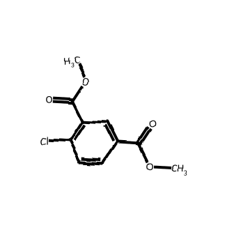 COC(=O)c1ccc(Cl)c(C(=O)OC)c1